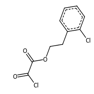 O=C(Cl)C(=O)OCCc1ccccc1Cl